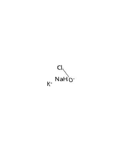 [K+].[NaH].[O-]Cl